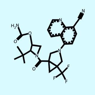 CC(C)(C)C1C(OC(N)=O)CN1C(=O)C12CN(c3ccc(C#N)c4ncccc34)CC1(C(F)(F)F)C2